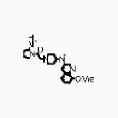 COc1cccc2cc(N(C)C3CCN(CC(=O)N4CCC[C@H]4N)CC3)cnc12